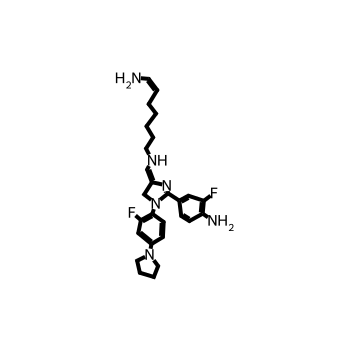 N/C=C\CCCCCN/C=C1/CN(c2ccc(N3CCCC3)cc2F)C(c2ccc(N)c(F)c2)=N1